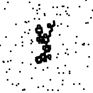 CCC(=O)CCCCC[C@H](NC(=O)C(=O)N1CCOCC1)c1ncc(-c2cc3ccccc3nc2OC)o1